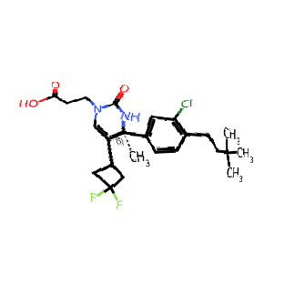 CC(C)(C)CCc1ccc([C@]2(C)NC(=O)N(CCC(=O)O)C=C2C2CC(F)(F)C2)cc1Cl